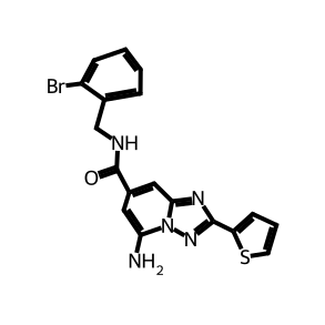 Nc1cc(C(=O)NCc2ccccc2Br)cc2nc(-c3cccs3)nn12